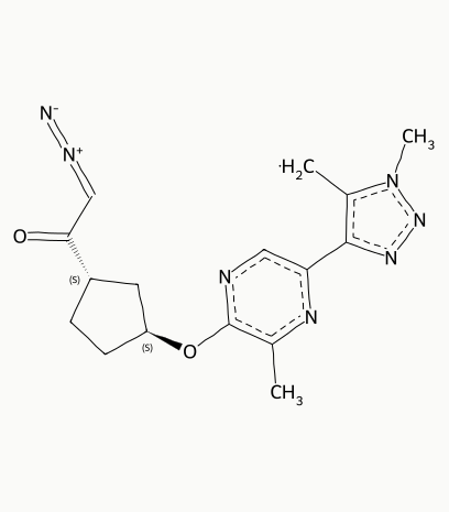 [CH2]c1c(-c2cnc(O[C@H]3CC[C@H](C(=O)C=[N+]=[N-])C3)c(C)n2)nnn1C